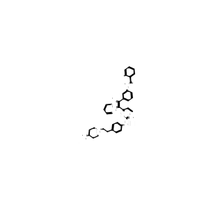 NC1CCN(CCc2ccc(Nc3nccc(-c4c(-c5cccc(NC(=O)c6ccccc6F)c5)nc5ccccn45)n3)cc2)CC1